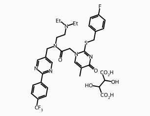 CCN(CC)CCN(Cc1cnc(-c2ccc(C(F)(F)F)cc2)nc1)C(=O)Cn1cc(C)c(=O)nc1SCc1ccc(F)cc1.O=C(O)C(O)C(O)C(=O)O